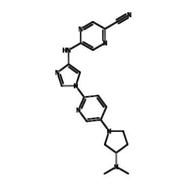 CN(C)C1CCN(c2ccc(-n3cnc(Nc4cnc(C#N)cn4)c3)nc2)C1